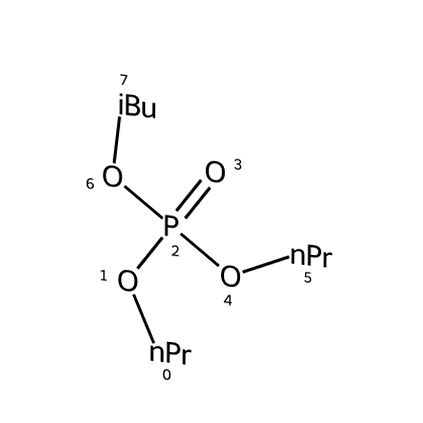 CCCOP(=O)(OCCC)OC(C)CC